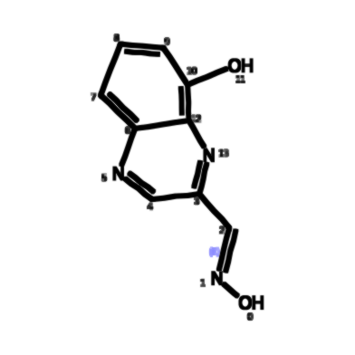 O/N=C/c1cnc2cccc(O)c2n1